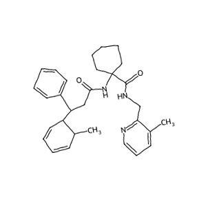 Cc1cccnc1CNC(=O)C1(NC(=O)CC(c2ccccc2)C2C=CC=CC2C)CCCCC1